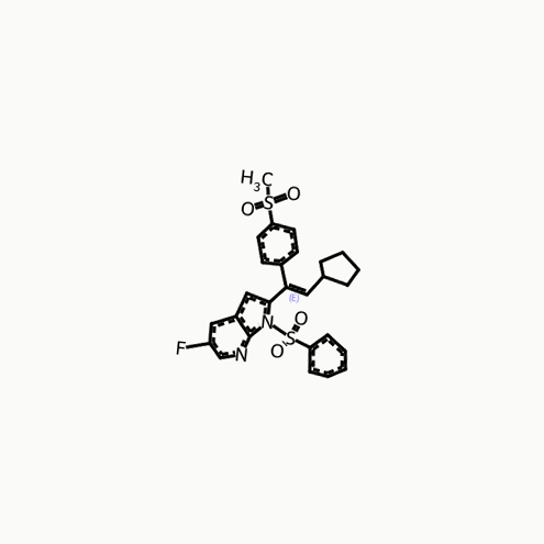 CS(=O)(=O)c1ccc(/C(=C\C2CCCC2)c2cc3cc(F)cnc3n2S(=O)(=O)c2ccccc2)cc1